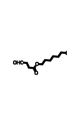 O=CCCC(=O)OCCCCCCI